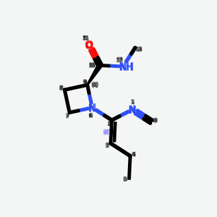 C=N/C(=C\CC)N1CC[C@H]1C(=O)NC